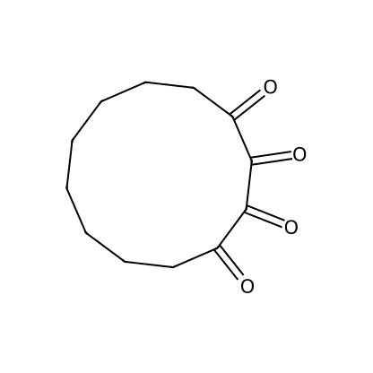 O=C1CCCCCCCCC(=O)C(=O)C1=O